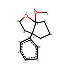 COC12CCCC1(c1ccccc1)CCO2